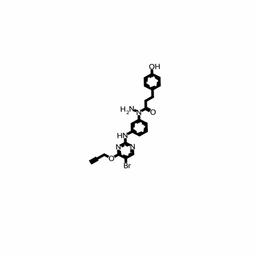 C#CCOc1nc(Nc2cccc(N(N)C(=O)CCc3ccc(O)cc3)c2)ncc1Br